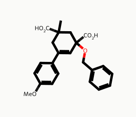 COc1ccc(C2=CC(OCc3ccccc3)(C(=O)O)CC(C)(C(=O)O)C2)cc1